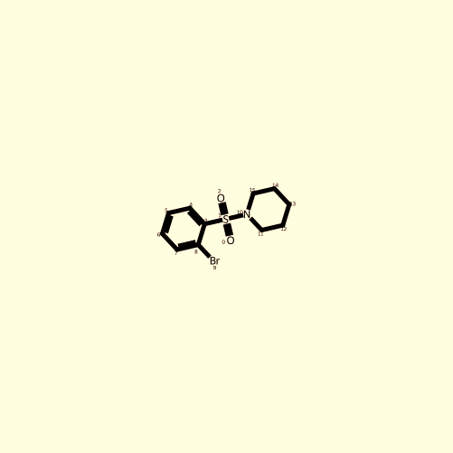 O=S(=O)(c1ccccc1Br)N1CC[CH]CC1